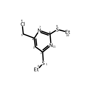 CCSc1cc(CCl)nc(SCC)n1